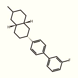 CC1CC[C@@H]2C[C@H](c3ccc(-c4cccc(F)c4)cc3)CC[C@@H]2C1